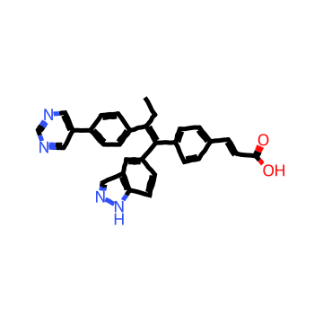 CCC(=C(c1ccc(C=CC(=O)O)cc1)c1ccc2[nH]ncc2c1)c1ccc(-c2cncnc2)cc1